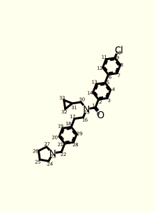 O=C(c1ccc(-c2ccc(Cl)cc2)cc1)N(CCc1ccc(CN2CCCC2)cc1)CC1CC1